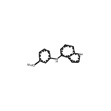 COc1cc[c]c(Nc2cccc3[nH]ccc23)c1